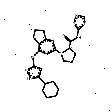 O=C(Nc1nnco1)[C@H]1CCCN1c1nc2c(c(Nc3cc(C4CCCCC4)[nH]n3)n1)CCC2